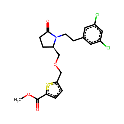 COC(=O)c1ccc(COC[C@H]2CCC(=O)N2CCc2cc(Cl)cc(Cl)c2)s1